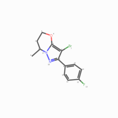 CC1CCOc2c(Br)c(-c3ccc(F)cc3)nn21